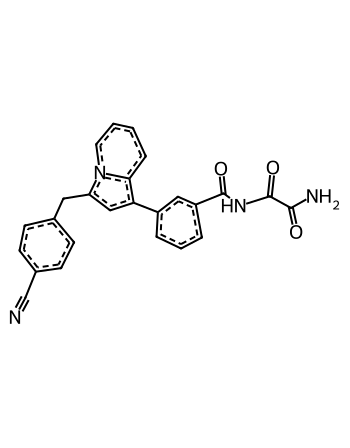 N#Cc1ccc(Cc2cc(-c3cccc(C(=O)NC(=O)C(N)=O)c3)c3ccccn23)cc1